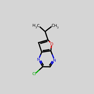 CC(C)c1cc2nc(Cl)cnc2o1